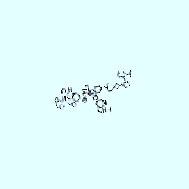 C=C(C)c1ccccc1C1CCCN1C1CC2(CCN(c3ccc(C(=O)NS(=O)(=O)c4cc5c(c([N+](=O)[O-])c4)NC(C4COCCO4)CO5)c(Oc4cnc5[nH]ccc5c4)c3)CC2)C1